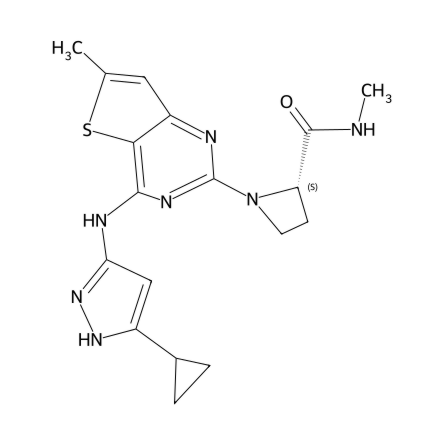 CNC(=O)[C@@H]1CCN1c1nc(Nc2cc(C3CC3)[nH]n2)c2sc(C)cc2n1